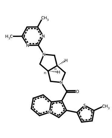 Cc1cc(C)nc(N2C[C@H]3CN(C(=O)c4c(-c5ccc(C)s5)cn5ccccc45)C[C@H]3C2)n1